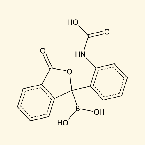 O=C(O)Nc1ccccc1C1(B(O)O)OC(=O)c2ccccc21